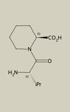 CC(C)[C@H](N)C(=O)N1CCCC[C@H]1C(=O)O